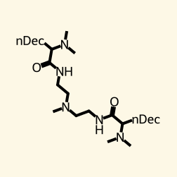 CCCCCCCCCCC(C(=O)NCCN(C)CCNC(=O)C(CCCCCCCCCC)N(C)C)N(C)C